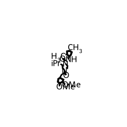 COc1ccc(CC(=O)N2CCN(C(=O)Nc3ccc(C)cc3C)C(C(C)C)C2)cc1OC